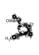 CCOC(=O)[C@H]1Cc2cc(ccc2OCc2ccnc(-c3ccccc3OC)n2)CC[C@H](COS(=O)(=O)c2ccc(C)cc2)Oc2c(Cl)cc(cc2Cl)-c2c(-c3ccc(F)cc3)sc3ncnc(c23)O1